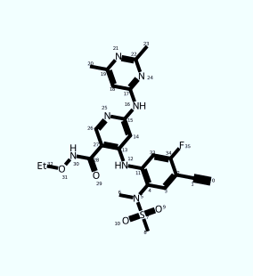 C#Cc1cc(N(C)S(C)(=O)=O)c(Nc2cc(Nc3cc(C)nc(C)n3)ncc2C(=O)NOCC)cc1F